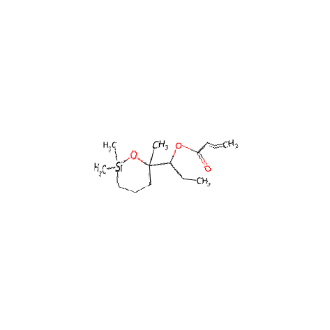 C=CC(=O)OC(CC)C1(C)CCC[Si](C)(C)O1